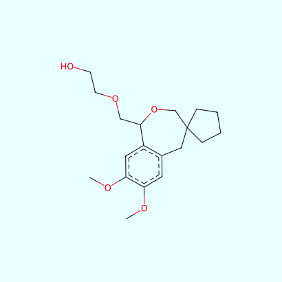 COc1cc2c(cc1OC)C(COCCO)OCC1(CCCC1)C2